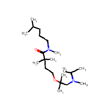 CC(C)CCCN(C)C(=O)C(C)(C)CCOC(C)(C)CN(C)C(C)C